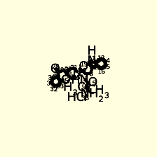 CC(C)(N)C(=O)NC(Cc1c[nH]c2ccccc12)C(=O)N1CCC2(CC1)CC(=O)c1ccccc1O2.Cl